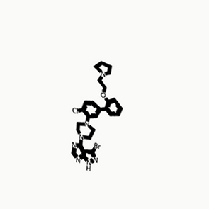 Clc1ccc(-c2ccccc2OCCN2CCCC2)cc1N1CCN(c2ncnc3[nH]nc(Br)c23)CC1